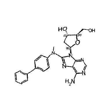 CN(c1ccc(-c2ccccc2)cc1)c1nc2c(N)ncnc2n1[C@H]1C[C@H](O)[C@@H](CO)O1